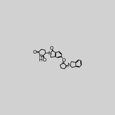 O=C1CCC(N2Cc3cc(O[C@@H]4CCC[C@@H]4N4Cc5ccccc5C4)ccc3C2=O)C(=O)N1